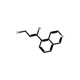 ClCC=C(Br)c1cccc2cnccc12